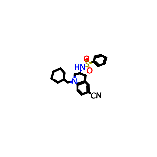 N#Cc1ccc2c(c1)C[C@H](NS(=O)(=O)c1ccccc1)CN2CC1CCCCC1